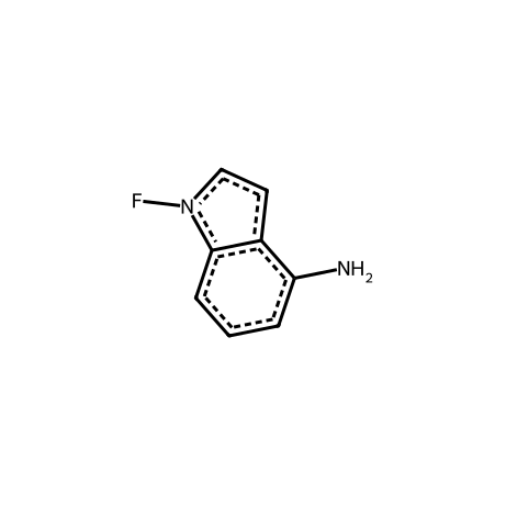 Nc1cccc2c1ccn2F